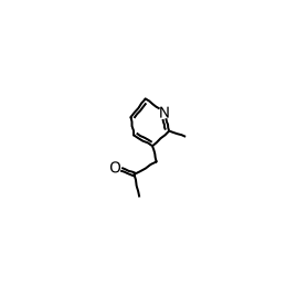 CC(=O)Cc1cccnc1C